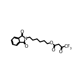 O=C(CC(=O)C(F)(F)F)OCCCCCCN1C(=O)c2ccccc2C1=O